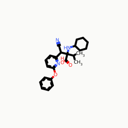 CC(C)C(NC1CCCCC1)(C(=O)O)C(C#N)c1cccc(Oc2ccccc2)n1